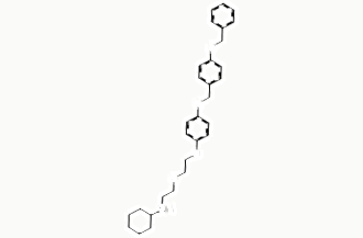 c1ccc(COc2ccc(COc3ccc(OCCOCCNC4CCCCC4)cc3)cc2)cc1